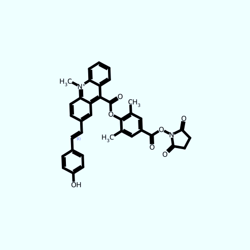 Cc1cc(C(=O)ON2C(=O)CCC2=O)cc(C)c1OC(=O)c1c2ccccc2[n+](C)c2ccc(/C=C/c3ccc(O)cc3)cc12